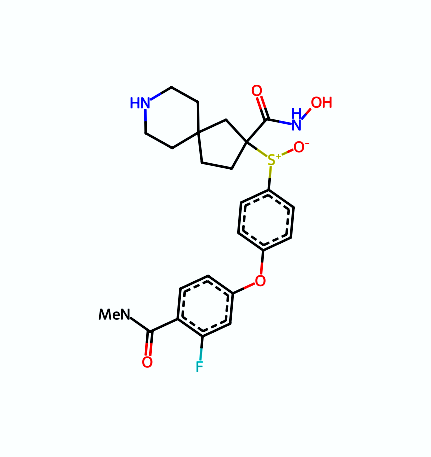 CNC(=O)c1ccc(Oc2ccc([S+]([O-])C3(C(=O)NO)CCC4(CCNCC4)C3)cc2)cc1F